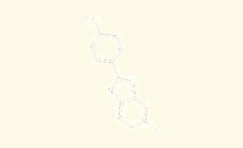 Cc1ccc2nc(-c3ccc(C(F)(F)F)cc3)sc2c1